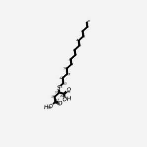 CCCCCCCCCCCCCCSC(CC(=O)O)C(=O)O